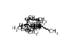 C=C(C)C(=O)OCC(CCC(F)(F)C(F)(F)C(F)(F)C(F)(F)C(F)(F)C(F)(F)CCCCCCC)(COC(=O)C(=C)C)COC(=O)C(=C)COCCN(C)C